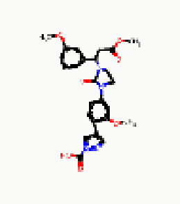 COC(=O)CC(c1cccc(OC)c1)N1CCN(c2ccc(-c3cnn(C(=O)O)c3)c(OC)c2)C1=O